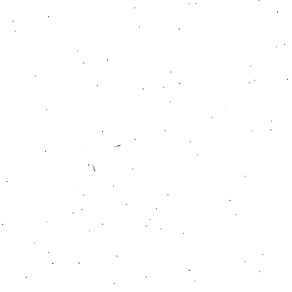 CCCS[C@H]1[C@H]2CC[C@H](C2)[C@H]1CCCCCCC(=O)O